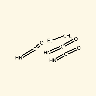 CCC.N=C=O.N=C=O.N=C=O